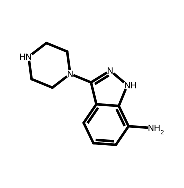 Nc1cccc2c(N3CCNCC3)n[nH]c12